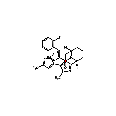 Cn1nc(C(F)(F)F)cc1-c1c2c(nn1C)[C@H]1CCC[C@@H](C2)N1C(=O)c1cnc2cccc(F)c2c1